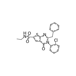 CCNS(=O)(=O)c1cc2c(=O)n(-c3ccccc3Cl)c(Cc3ccccc3)nc2s1